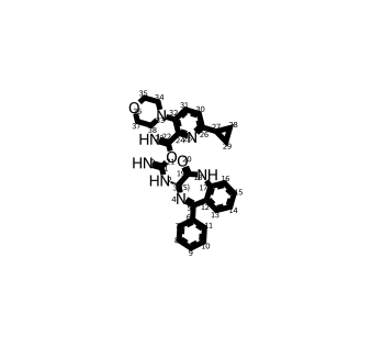 N=C(N[C@H]1N=C(c2ccccc2)c2ccccc2NC1=O)OC(=N)c1nc(C2CC2)ccc1N1CCOCC1